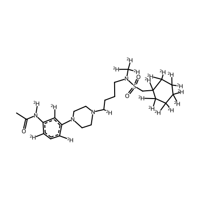 [2H]c1cc([2H])c(N([2H])C(C)=O)c([2H])c1N1CCN(C([2H])CCCN(C([2H])([2H])[2H])S(=O)(=O)CC2([2H])C([2H])([2H])C([2H])([2H])C([2H])([2H])C([2H])([2H])C2([2H])[2H])CC1